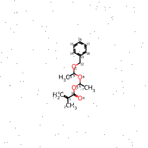 C=C(C)C(=O)OC(C)OC(C)OCc1ccccc1